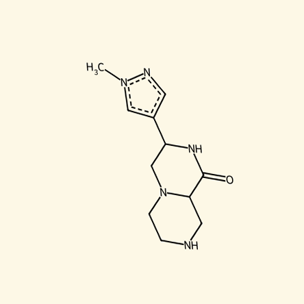 Cn1cc(C2CN3CCNCC3C(=O)N2)cn1